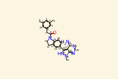 Cc1cc(C)cc(CC(=O)N2CCc3cc(C4=C5C(=NC=NC5N)N(C)N4)ccc32)c1